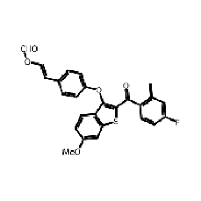 COc1ccc2c(Oc3ccc(/C=C/OC=O)cc3)c(C(=O)c3ccc(F)cc3C)sc2c1